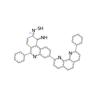 N=C1/C(=N\S)C=Cc2c(-c3ccccc3)nc3cc(-c4ccc5ccc6ccc(-c7ccccc7)nc6c5n4)ccc3c21